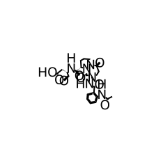 CC(=O)Nc1ccccc1C(=O)NN1CCC(=O)N2CCC[C@@H](C(=O)N[C@H](C=O)CC(=O)O)N2C1=O